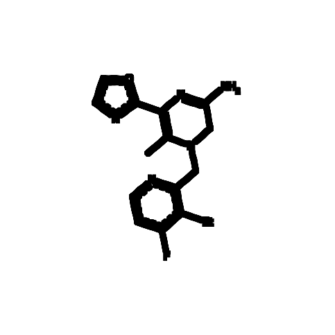 CCc1c(F)ccnc1CN1CC(N)=NC(c2ncco2)=C1C